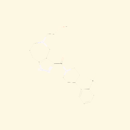 COCCN1CCCc2[nH]nc(C(=O)N3CCC(c4ccccc4C(F)(F)F)CC3)c2C1